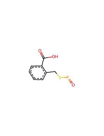 O=PSCc1ccccc1C(=O)O